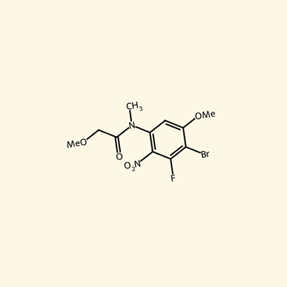 COCC(=O)N(C)c1cc(OC)c(Br)c(F)c1[N+](=O)[O-]